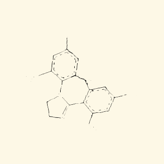 Cc1cc(C)c(C2=NCCN2c2c(C)cc(C)cc2C)c(C)c1